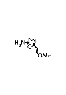 COCCc1nnc(N)o1